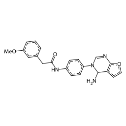 COc1cccc(CC(=O)Nc2ccc(N3C=Nc4occc4C3N)cc2)c1